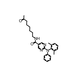 CC(=O)CCCCCCNC(=O)c1cnc(N(c2ccccc2)c2c(C)cccc2C)nc1